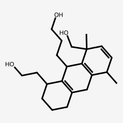 CC1C=CC(C)(CO)C2=C1CC1=C(C(CCO)CCC1)C2CCCO